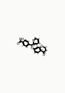 NC(=O)c1ccc([C@@H](Oc2ccc3c(c2)OCCC3=O)c2ccccn2)cc1